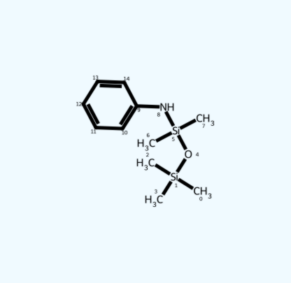 C[Si](C)(C)O[Si](C)(C)Nc1ccccc1